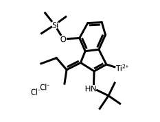 CCC(C)=C1C(NC(C)(C)C)=[C]([Ti+2])c2cccc(O[Si](C)(C)C)c21.[Cl-].[Cl-]